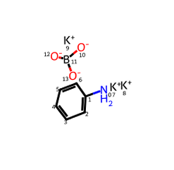 Nc1ccccc1.[K+].[K+].[K+].[O-]B([O-])[O-]